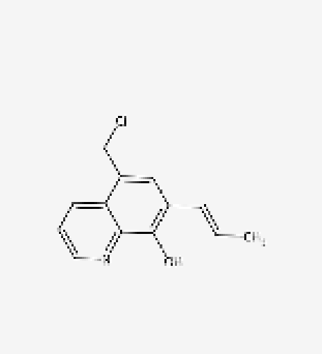 CC=Cc1cc(CCl)c2cccnc2c1O